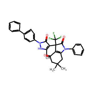 Cc1[nH]n(-c2ccc(-c3ccccc3)cc2)c(=O)c1C1(C(F)(F)F)C(=O)N(c2ccccc2)C2=C1C(=O)CC(C)(C)C2